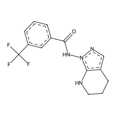 O=C(Nn1ncc2c1NCCC2)c1cccc(C(F)(F)F)c1